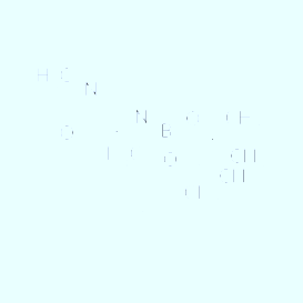 CN1CCN(B2OC(C)(C)C(C)(C)O2)C(C)(Cc2ccccc2)C1=O